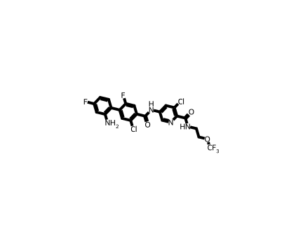 Nc1cc(F)ccc1-c1cc(Cl)c(C(=O)Nc2cnc(C(=O)NCCOC(F)(F)F)c(Cl)c2)cc1F